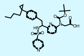 CCCCC1(c2ccc(CC(NS(=O)(=O)c3ccncc3)c3cccc(N(CC(=O)O)C(=O)OC(C)(C)C)n3)cc2)CC1